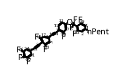 CCCCCc1cc(F)c(C(F)(F)Oc2ccc(C#Cc3cc(F)c(C#Cc4cc(F)c(F)c(F)c4)c(F)c3)c(F)c2)c(F)c1